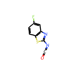 O=C=Nc1nc2cc(F)ccc2s1